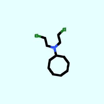 ClCCN(CCCl)C1CCCCCCC1